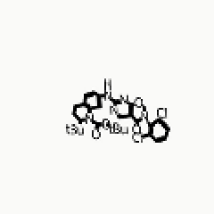 CC(C)(C)OC(=O)N1c2cc(Nc3ncc4c(n3)OCN(c3c(Cl)cccc3Cl)C4=O)ccc2CCC1C(C)(C)C